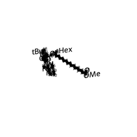 CCCCCCN(CCCCCCCCCCCCCCCC(=O)OC)OC[C@]12C[C@@]3(O[Si](C)(C)C(C)(C)C)OC(C13)[C@H](n1cnc3c(/N=C\N(C)C)ncnc31)O2